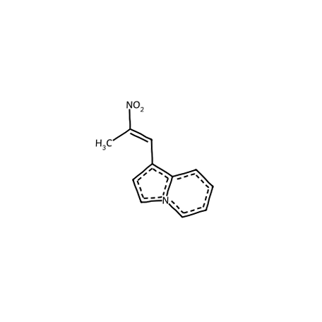 CC(=Cc1ccn2ccccc12)[N+](=O)[O-]